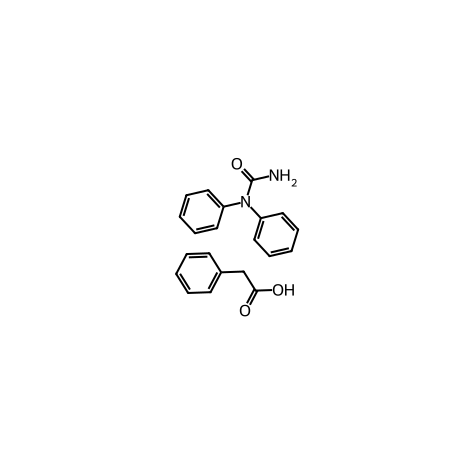 NC(=O)N(c1ccccc1)c1ccccc1.O=C(O)Cc1ccccc1